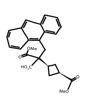 COC(=O)C(Cc1c2ccccc2cc2ccccc12)(C(=O)O)[C@H]1C[C@@H](C(=O)OC)C1